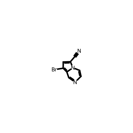 N#Cc1cc(Br)c2cnccn12